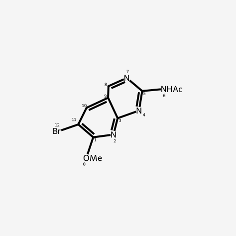 COc1nc2nc(NC(C)=O)ncc2cc1Br